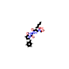 CCCCC[C@H](CN(O)C=O)C(=O)NNC(=O)N1C(=O)CC[C@H]1Cc1ccccc1